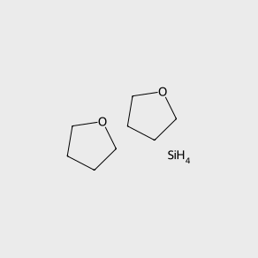 C1CCOC1.C1CCOC1.[SiH4]